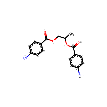 CC(COC(=O)c1ccc(N)cc1)OC(=O)c1ccc(N)cc1